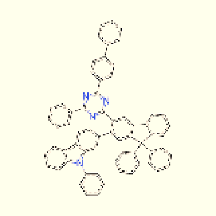 c1ccc(-c2ccc(-c3nc(-c4ccccc4)nc(-c4cc5c(cc4-c4ccc6c7ccccc7n(-c7ccccc7)c6c4)C(c4ccccc4)(c4ccccc4)c4ccccc4-5)n3)cc2)cc1